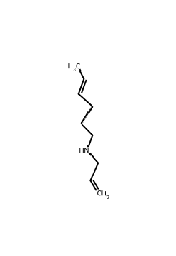 C=CCNCCCC=CC